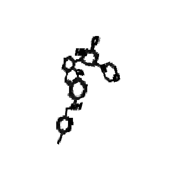 Cc1ccc(CNc2ccc3c(c2)Cc2cccc(-c4cc(N5CCOCC5)cc(=O)[nH]4)c2O3)nc1